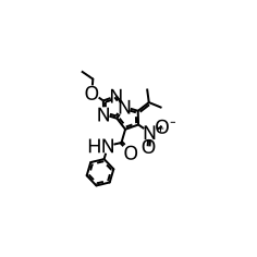 CCOc1nc2c(C(=O)Nc3ccccc3)c([N+](=O)[O-])c(=C(C)C)n2n1